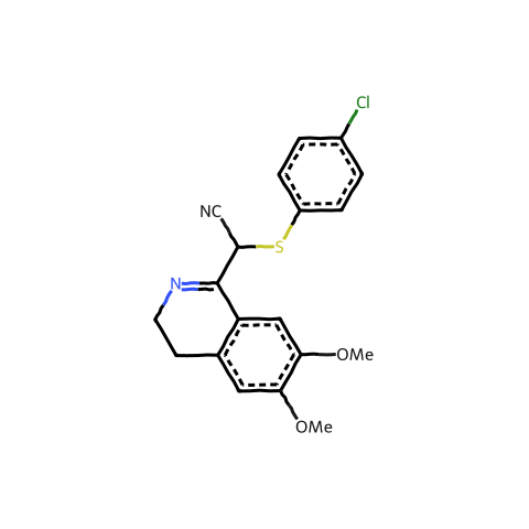 COc1cc2c(cc1OC)C(C(C#N)Sc1ccc(Cl)cc1)=NCC2